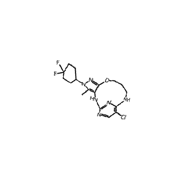 Cc1c2c(nn1C1CCC(F)(F)CC1)OCCCNc1nc(ncc1Cl)N2